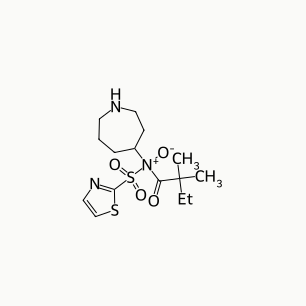 [CH2]CC(C)(C)C(=O)[N+]([O-])(C1CCCNCC1)S(=O)(=O)c1nccs1